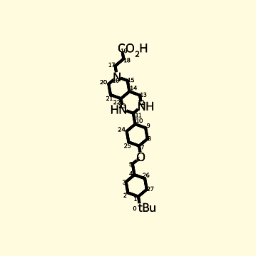 CC(C)(C)C1CCC(COC2CCC(C3NCC4CN(CCC(=O)O)CCC4N3)CC2)CC1